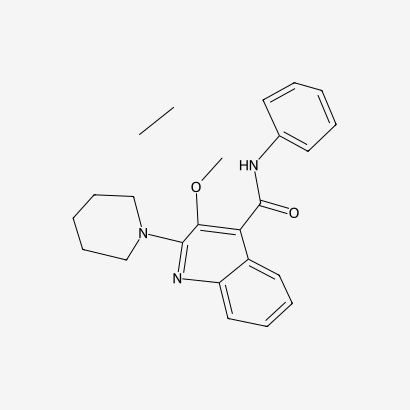 CC.COc1c(N2CCCCC2)nc2ccccc2c1C(=O)Nc1ccccc1